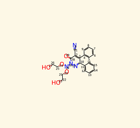 N#Cc1c(-c2ccccc2)c(-c2ccccc2)nn(N(OCCO)OCCO)c1=O